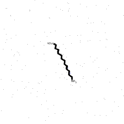 CCCCCCCCCCCCCCCC/C=C/C=C/CN